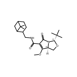 COC1=C(C(=O)NCC2CCC3CC2C3(C)C)C(=O)N2[C@H](C(C)(C)C)OC[C@@H]12